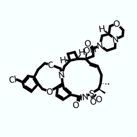 C[C@@H]1[C@@H](C)C/C=C/[C@@](O)(CC(=O)N2CCN3CCOC[C@H]3C2)[C@@H]2CC[C@H]2CN2CCCCc3cc(Cl)ccc3COc3ccc(cc32)C(=O)NS1(=O)=O